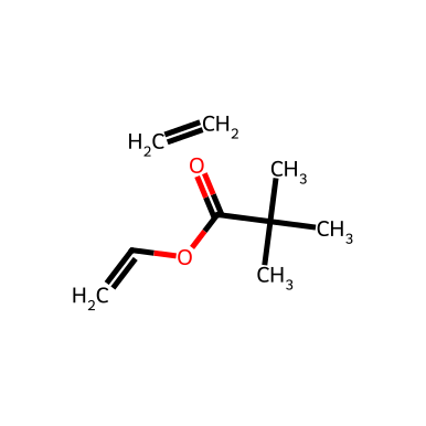 C=C.C=COC(=O)C(C)(C)C